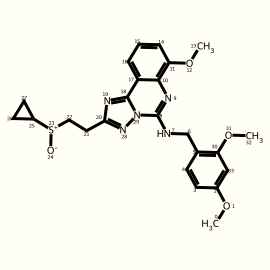 COc1ccc(CNc2nc3c(OC)cccc3c3nc(CC[S+]([O-])C4CC4)nn23)c(OC)c1